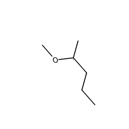 CCC[C](C)OC